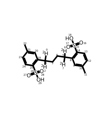 [2H]C([2H])(CCC([2H])([2H])c1cc(C)ccc1S(=O)(=O)O)c1cc(C)ccc1S(=O)(=O)O